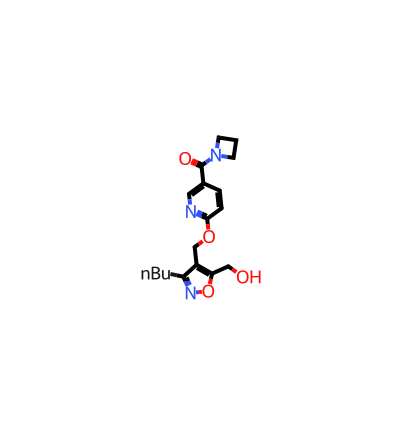 CCCCc1noc(CO)c1COc1ccc(C(=O)N2CCC2)cn1